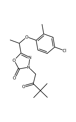 Cc1cc(Cl)ccc1OC(C)c1nn(CC(=O)C(C)(C)C)c(=O)o1